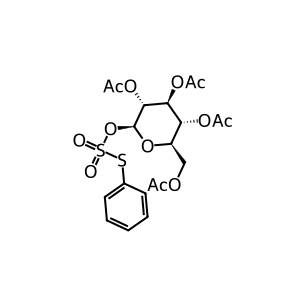 CC(=O)OC[C@H]1O[C@@H](OS(=O)(=O)Sc2ccccc2)[C@H](OC(C)=O)[C@@H](OC(C)=O)[C@@H]1OC(C)=O